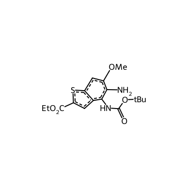 CCOC(=O)c1cc2c(NC(=O)OC(C)(C)C)c(N)c(OC)cc2s1